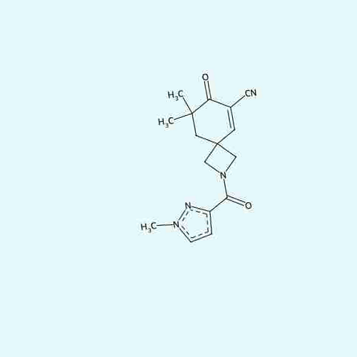 Cn1ccc(C(=O)N2CC3(C=C(C#N)C(=O)C(C)(C)C3)C2)n1